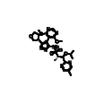 COc1ncnc(OC)c1-n1c(NS(=O)(=O)[C@@H](C)[C@@H](OC(C)C)c2ncc(C)cn2)nnc1[C@@H]1CCOC1